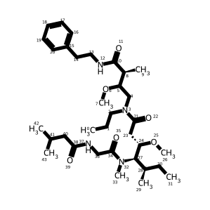 CCCN(CC(OC)[C@H](C)C(=O)NCCc1ccccc1)C(=O)C[C@H](OC)[C@@H]([C@H](C)CC)N(C)C(=O)CNC(=O)CC(C)C